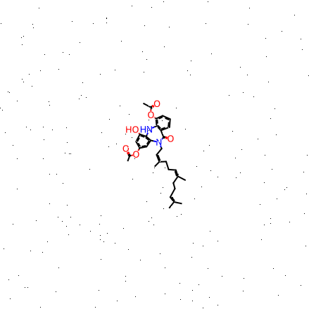 CC(=O)Oc1cc(O)c2c(c1)N(CC=C(C)CCC=C(C)CCC=C(C)C)C(=O)c1cccc(OC(C)=O)c1N2